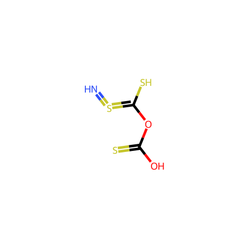 N=S=C(S)OC(O)=S